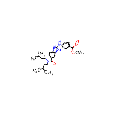 COC(=O)c1ccc(Nc2nc3ccc(C(=O)N(CCC(C)C)CCC(C)C)cc3[nH]2)cc1